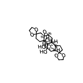 C[C@]12CC(O)(O)[C@H]3[C@@H](C[C@H]4O[C@]45CC4(CC[C@]35C)OCCO4)[C@@H]1CCC21OCCO1